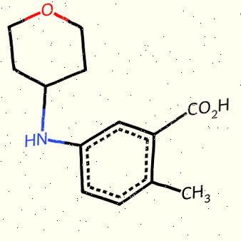 Cc1ccc(NC2CCOCC2)cc1C(=O)O